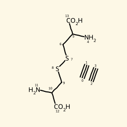 C#C.C#C.NC(CSSCC(N)C(=O)O)C(=O)O